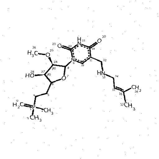 C=P(C)(C)CCC1OC(n2cc(CNCC=C(C)C)c(=O)[nH]c2=O)[C@H](OC)[C@@H]1O